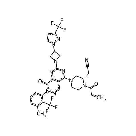 C=CC(=O)N1CCN(c2nc(N3CC(n4ccc(C(F)(F)F)n4)C3)nc3c(=O)n(-c4cccc(C)c4C(F)(F)F)ncc23)C[C@@H]1CC#N